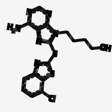 Nc1ncnc2c1nc(Sc1nc3cccc(Cl)c3s1)n2CCCCO